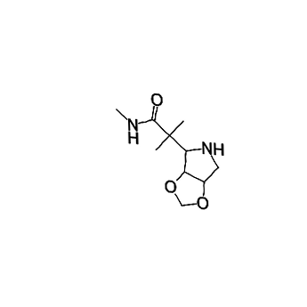 CNC(=O)C(C)(C)C1NCC2OCOC21